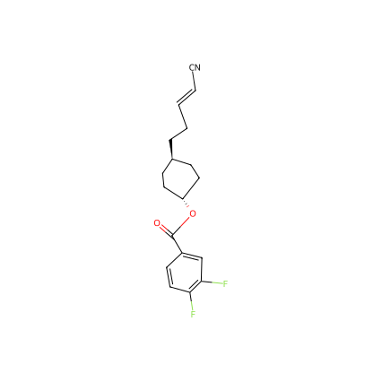 N#CC=CCC[C@H]1CC[C@H](OC(=O)c2ccc(F)c(F)c2)CC1